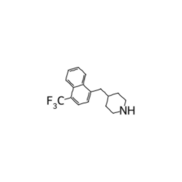 FC(F)(F)c1ccc(CC2CCNCC2)c2ccccc12